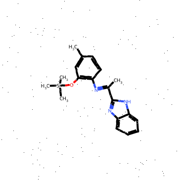 CC(=Nc1ccc(C)cc1O[Si](C)(C)C)c1nc2ccccc2[nH]1